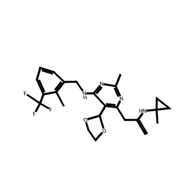 C=C(Cc1nc(C)nc(NCc2cccc(C(F)(F)F)c2C)c1C1OCCO1)NC1(C)CC1